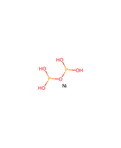 OP(O)OP(O)O.[Ni]